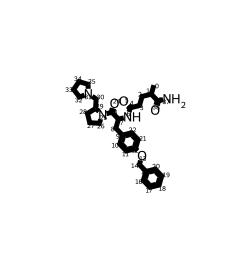 CC(C[CH]C(=O)NC(Cc1ccc(OCc2ccccc2)cc1)C(=O)N1CCCC1CN1CCCC1)C(N)=O